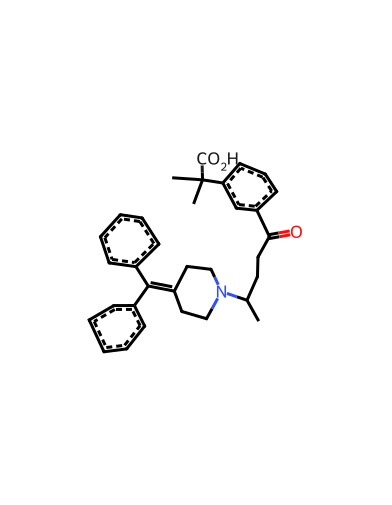 CC(CCC(=O)c1cccc(C(C)(C)C(=O)O)c1)N1CCC(=C(c2ccccc2)c2ccccc2)CC1